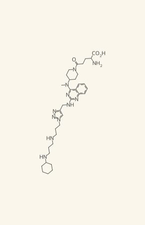 CN(c1nc(NCc2cn(CCCNCCCNC3CCCCC3)nn2)nc2ccccc12)C1CCN(C(=O)CCC(N)C(=O)O)CC1